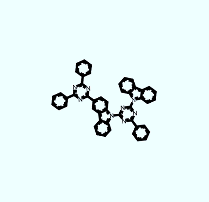 c1ccc(-c2nc(-c3ccccc3)nc(-c3ccc4c(c3)c3ccccc3n4-c3nc(-c4ccccc4)nc(-n4c5ccccc5c5ccccc54)n3)n2)cc1